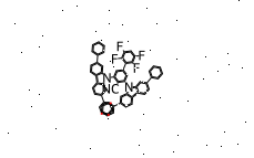 N#Cc1c(-n2c3cc(-c4ccccc4)ccc3c3ccc(-c4ccccc4)cc32)cc(-c2c(F)c(F)cc(F)c2F)cc1-n1c2cc(-c3ccccc3)ccc2c2ccc(-c3ccccc3)cc21